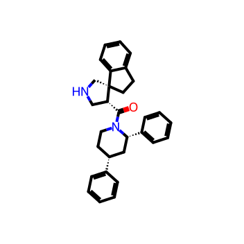 O=C([C@@H]1CNC[C@]12CCc1ccccc12)N1CC[C@@H](c2ccccc2)C[C@H]1c1ccccc1